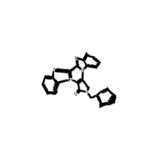 O=C1c2c(n3c4ccccc4nc3c3nc4ccccc4n23)CN1Cc1ccccc1